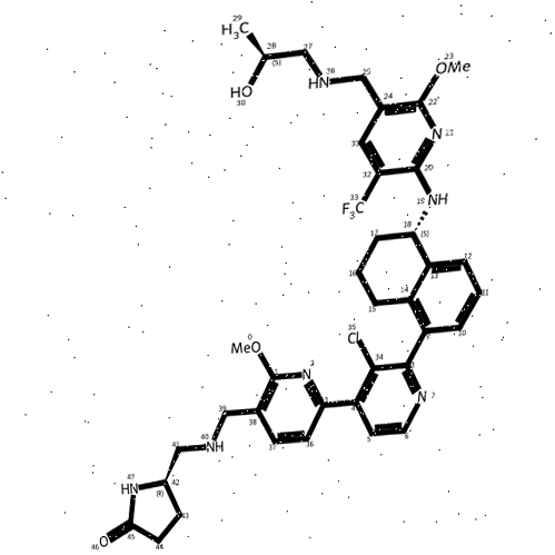 COc1nc(-c2ccnc(-c3cccc4c3CCC[C@@H]4Nc3nc(OC)c(CNC[C@H](C)O)cc3C(F)(F)F)c2Cl)ccc1CNC[C@H]1CCC(=O)N1